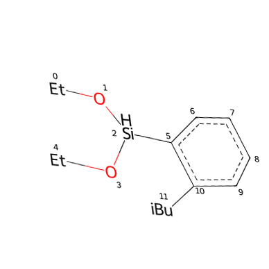 CCO[SiH](OCC)c1ccccc1C(C)CC